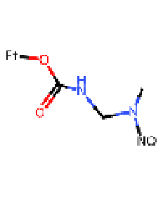 CCOC(=O)NCN(C)N=O